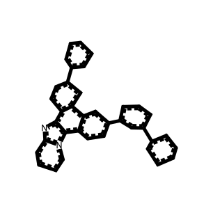 c1ccc(-c2cccc(-c3ccc4c(c3)c3cc(-c5ccccc5)ccc3c3nc5ccccn5c43)c2)cc1